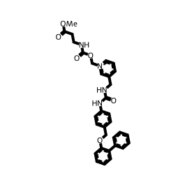 COC(=O)CCNC(=O)OC[n+]1cccc(CNC(=O)Nc2ccc(COc3ccccc3-c3ccccc3)cc2)c1